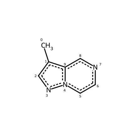 Cc1cnn2ccncc12